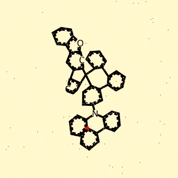 c1ccc(-c2ccccc2N(c2ccccc2)c2ccc3c(c2)-c2ccccc2-c2ccccc2C32c3ccccc3-c3cc4c(cc32)oc2ccccc24)cc1